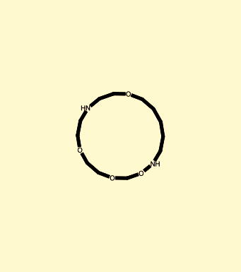 C1CCNOCOCCOCCNCCOCC1